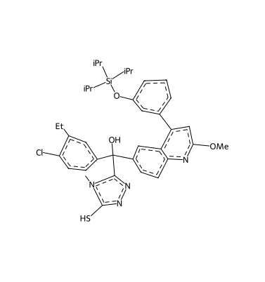 CCc1cc(C(O)(c2ccc3nc(OC)cc(-c4cccc(O[Si](C(C)C)(C(C)C)C(C)C)c4)c3c2)c2nnc(S)n2C)ccc1Cl